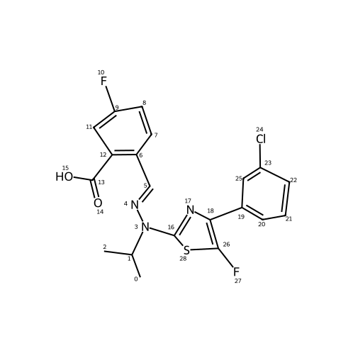 CC(C)N(/N=C/c1ccc(F)cc1C(=O)O)c1nc(-c2cccc(Cl)c2)c(F)s1